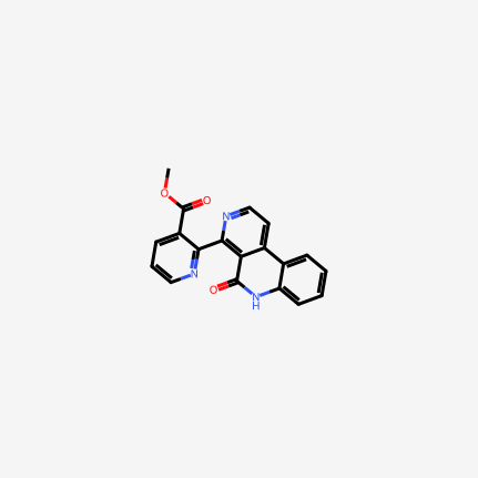 COC(=O)c1cccnc1-c1nccc2c1c(=O)[nH]c1ccccc12